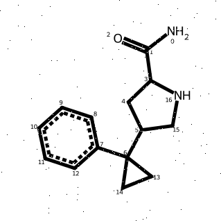 NC(=O)C1CC(C2(c3ccccc3)CC2)CN1